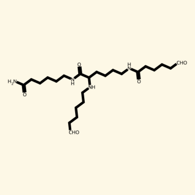 NC(=O)CCCCCNC(=O)C(CCCCNC(=O)CCCCC=O)NCCCCCC=O